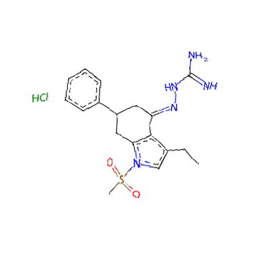 CCc1cn(S(C)(=O)=O)c2c1C(=NNC(=N)N)CC(c1ccccc1)C2.Cl